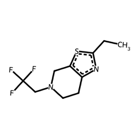 CCc1nc2c(s1)CN(CC(F)(F)F)CC2